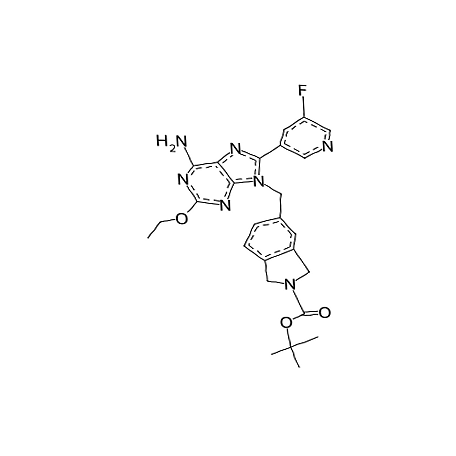 CCOc1nc(N)c2nc(-c3cncc(F)c3)n(Cc3ccc4c(c3)CN(C(=O)OC(C)(C)C)C4)c2n1